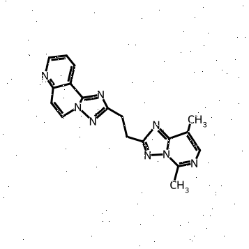 Cc1cnc(C)n2nc(CCc3nc4c5cccnc5ccn4n3)nc12